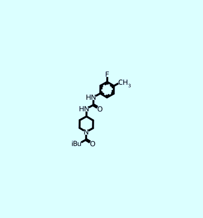 CCC(C)C(=O)N1CCC(NC(=O)Nc2ccc(C)c(F)c2)CC1